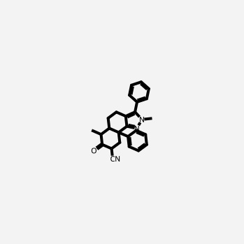 CC1C(=O)C(C#N)CC2(c3ccccc3)c3nn(C)c(-c4ccccc4)c3CCC12